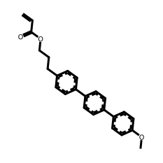 C=CC(=O)OCCCc1ccc(-c2ccc(-c3ccc(OC)cc3)cc2)cc1